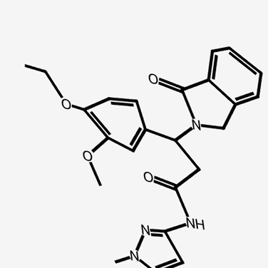 CCOc1ccc(C(CC(=O)Nc2ccn(C)n2)N2Cc3ccccc3C2=O)cc1OC